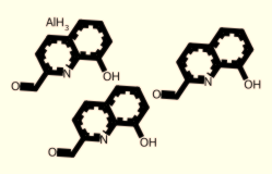 O=Cc1ccc2cccc(O)c2n1.O=Cc1ccc2cccc(O)c2n1.O=Cc1ccc2cccc(O)c2n1.[AlH3]